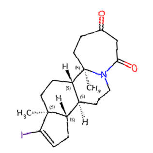 C[C@]12CC[C@H]3[C@@H](CCN4C(=O)CC(=O)CC[C@]34C)[C@@H]1CC=C2I